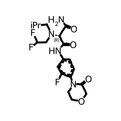 CC(C)CN(CC(F)F)[C@H](C(N)=O)C(=O)Nc1ccc(N2CCOCC2=O)c(F)c1